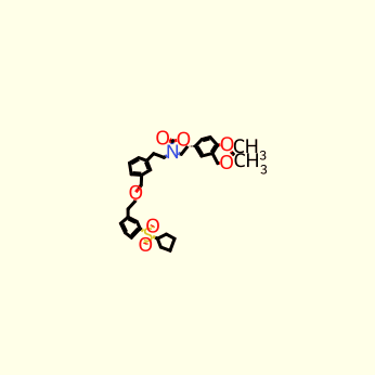 CC1(C)OCc2cc([C@@H]3CN(CCc4cccc(COCCc5cccc(S(=O)(=O)C6CCCC6)c5)c4)C(=O)O3)ccc2O1